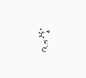 Cc1nc(NC2(C)CC2)c2c(C(=O)Nc3cnn(Cc4ccccn4)c3)coc2n1